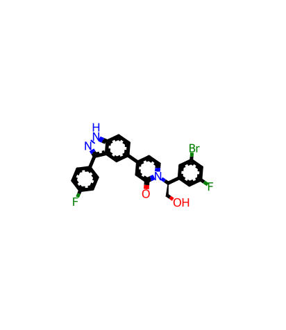 O=c1cc(-c2ccc3[nH]nc(-c4ccc(F)cc4)c3c2)ccn1[C@H](CO)c1cc(F)cc(Br)c1